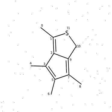 CC1=C2C(C)=C(C)C(C)=C2[CH]S1